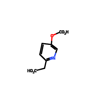 O=C(O)Cc1ccc(OC(=O)O)cn1